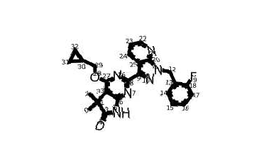 CC1(C)C(=O)Nc2nc(-c3nn(Cc4ccccc4F)c4ncccc34)nc(OCC3CC3)c21